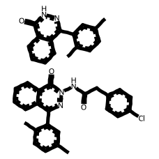 Cc1ccc(C)c(-c2n[nH]c(=O)c3ccccc23)c1.Cc1ccc(C)c(-c2nn(NC(=O)Cc3ccc(Cl)cc3)c(=O)c3ccccc23)c1